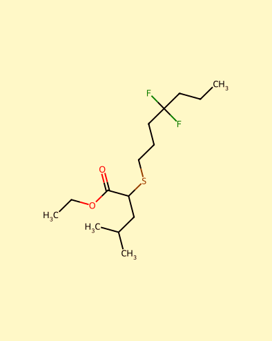 CCCC(F)(F)CCCSC(CC(C)C)C(=O)OCC